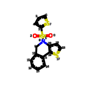 O=S(=O)(c1cccs1)N1Cc2ccccc2-c2sccc21